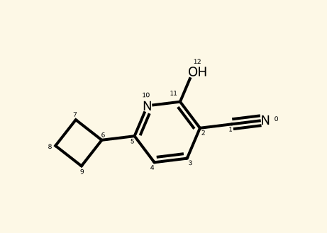 N#Cc1ccc(C2CCC2)nc1O